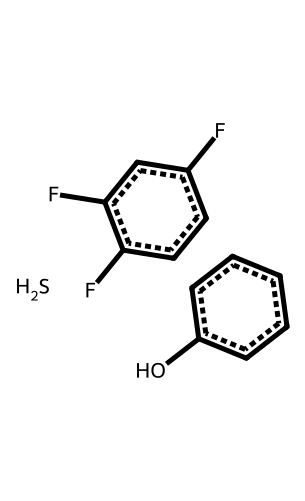 Fc1ccc(F)c(F)c1.Oc1ccccc1.S